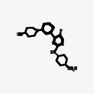 O=C(O)[C@H]1CC[C@H](Nc2ncc(F)c(-c3cccc(N4CCC(O)CC4)c3)n2)CC1